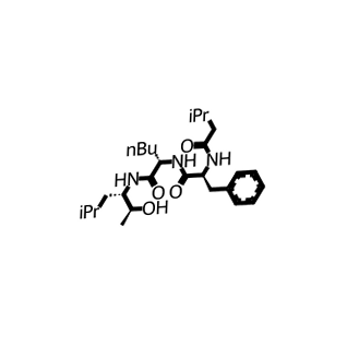 CCCC[C@H](NC(=O)[C@H](Cc1ccccc1)NC(=O)CC(C)C)C(=O)N[C@@H](CC(C)C)[C@H](C)O